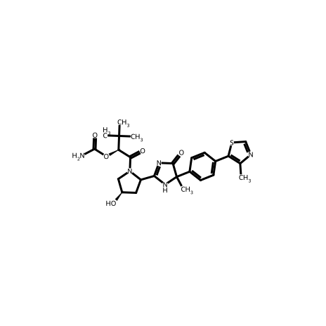 Cc1ncsc1-c1ccc(C2(C)NC(C3C[C@@H](O)CN3C(=O)[C@@H](OC(N)=O)C(C)(C)C)=NC2=O)cc1